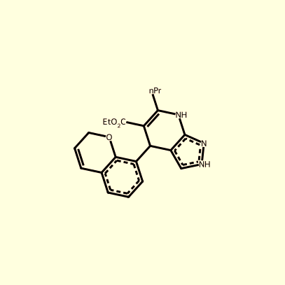 CCCC1=C(C(=O)OCC)C(c2cccc3c2OCC=C3)c2c[nH]nc2N1